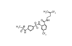 C=C(CCNC(=O)c1ccc(C(F)(F)F)cc1NS(=O)(=O)c1ccc(NS(C)(=O)=O)cc1)C(F)(F)F